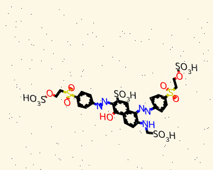 O=S(=O)(O)CNc1ccc2c(O)c(/N=N/c3ccc(S(=O)(=O)CCOS(=O)(=O)O)cc3)c(S(=O)(=O)O)cc2c1/N=N/c1ccc(S(=O)(=O)CCOS(=O)(=O)O)cc1